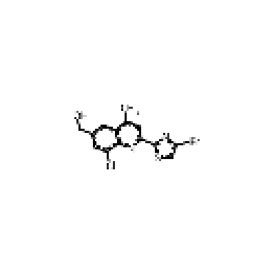 Cc1cc(-c2nc(C(C)C)cs2)nc2c(Cl)cc(CO)cc12